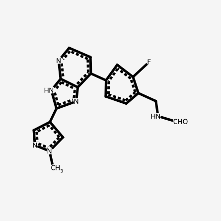 Cn1cc(-c2nc3c(-c4ccc(CNC=O)c(F)c4)ccnc3[nH]2)cn1